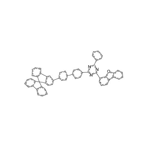 c1ccc(-c2nc(-c3ccc(-c4ccc(-c5ccc6c(c5)-c5ccccc5C65c6ccccc6-c6ccccc65)cc4)cc3)nc(-c3cccc4c3oc3ccccc34)n2)cc1